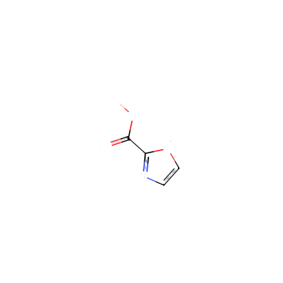 BOC(=O)c1ncco1